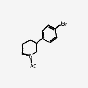 CC(=O)N1CCCC(c2ccc(Br)cc2)C1